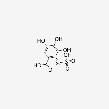 O=C(O)c1cc(O)c(O)c(O)c1[Se]S(=O)(=O)O